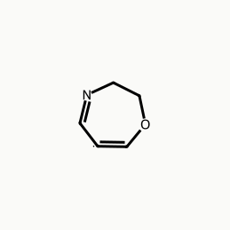 [C]1=COCCN=C1